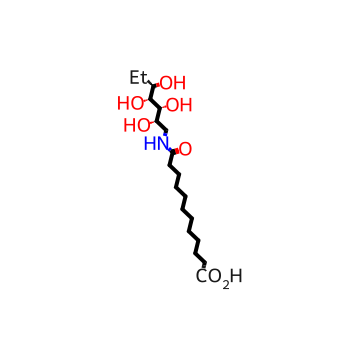 CC[C@@H](O)[C@@H](O)[C@H](O)[C@@H](O)CNC(=O)CCCCCCCCCCC(=O)O